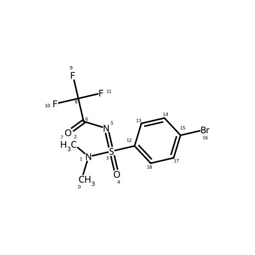 CN(C)S(=O)(=NC(=O)C(F)(F)F)c1ccc(Br)cc1